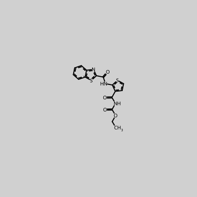 CCOC(=O)NC(=O)c1ccsc1NC(=O)c1nc2ccccc2s1